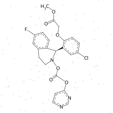 COC(=O)COc1ccc(Cl)cc1[C@@H]1c2ccc(F)cc2CCN1OC(=O)Oc1ccncn1